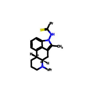 CCCN1CCC[C@@H]2c3cccc4c3c(c(C)n4NC(=S)C(C)C)C[C@H]21